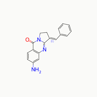 Nc1ccc2c(=O)n3c(nc2c1)/C(=C/c1ccccc1)CC3